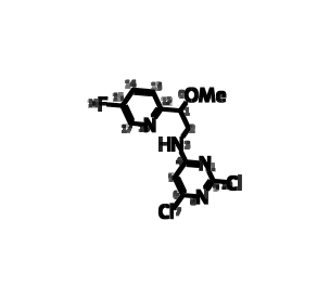 COC(CNc1cc(Cl)nc(Cl)n1)c1ccc(F)cn1